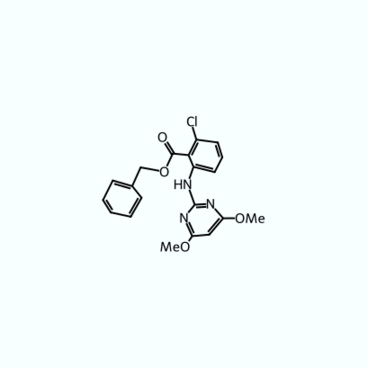 COc1cc(OC)nc(Nc2cccc(Cl)c2C(=O)OCc2ccccc2)n1